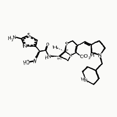 Nc1nc(C(=NO)C(=O)N[C@@H]2CN3C(C(=O)O)=C(C=C4CCN(CC5CCNCC5)C4)CS[C@H]23)cs1